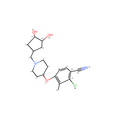 Cc1c(OC2CCN(CC3CC(O)C(O)C3)CC2)ccc(C#N)c1Cl